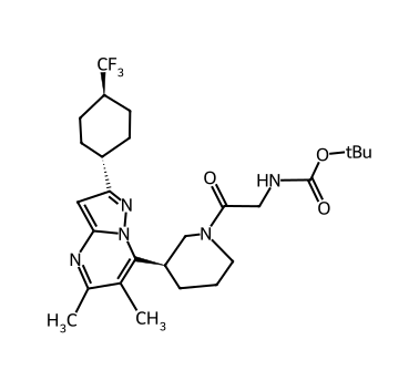 Cc1nc2cc([C@H]3CC[C@H](C(F)(F)F)CC3)nn2c([C@@H]2CCCN(C(=O)CNC(=O)OC(C)(C)C)C2)c1C